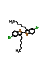 CCCCCCc1c(-c2sc3ccc(Br)cc3c2CCCCCC)sc2ccc(Br)cc12